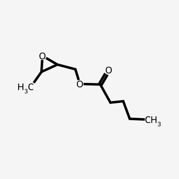 CCCCC(=O)OCC1OC1C